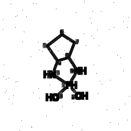 O[PH]1(O)NC2CCCC2N1